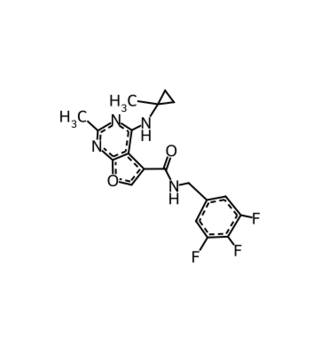 Cc1nc(NC2(C)CC2)c2c(C(=O)NCc3cc(F)c(F)c(F)c3)coc2n1